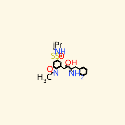 Cc1nc2c(C[C@@H](O)[C@@H](N)Cc3ccccc3)cc(S(=O)(=S)NCC(C)C)cc2o1